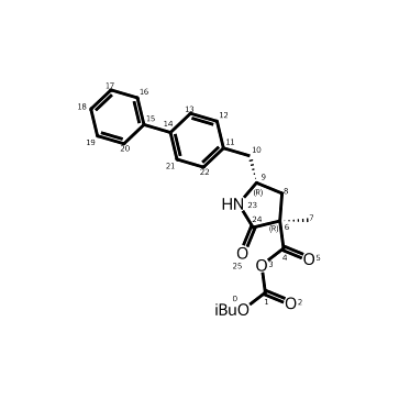 CC(C)COC(=O)OC(=O)[C@]1(C)C[C@@H](Cc2ccc(-c3ccccc3)cc2)NC1=O